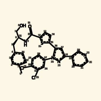 Cc1ccc(C[C@@H](CO)NC(=O)c2ccc(-c3cc(-c4cccnc4)nn3-c3ccc(Cl)c(Cl)c3)s2)cc1